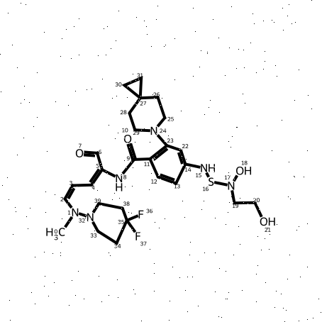 CN(/C=C\C=C(/C=O)NC(=O)c1ccc(NSN(O)CCO)cc1N1CCC2(CC1)CC2)N1CCC(F)(F)CC1